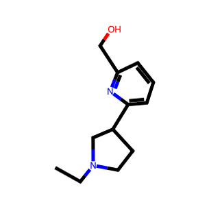 CCN1CCC(c2cccc(CO)n2)C1